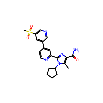 Cc1c(C(N)=O)nc(-c2cc(-c3cncc(S(C)(=O)=O)c3)ccn2)n1C1CCCC1